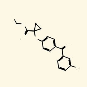 CCOC(=O)C1(Oc2ccc(C(=O)c3cccc(Br)c3)cc2)CC1